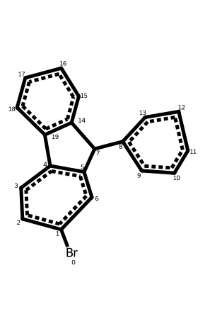 Brc1ccc2c(c1)C(c1ccccc1)c1ccccc1-2